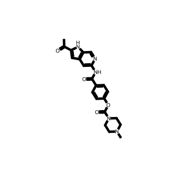 CC(=O)c1cc2cc(NC(=O)c3ccc(OC(=O)N4CCN(C)CC4)cc3)ncc2[nH]1